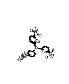 O=P([O-])([O-])c1ccc(P(c2ccccc2)c2ccc(P(=O)([O-])[O-])o2)o1.[Na+].[Na+].[Na+].[Na+]